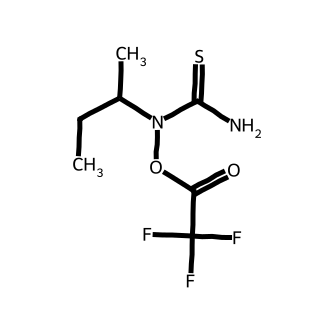 CCC(C)N(OC(=O)C(F)(F)F)C(N)=S